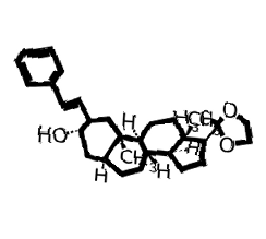 CC1([C@H]2CC[C@H]3[C@@H]4CC[C@H]5C[C@H](O)C(/C=C/c6ccccc6)C[C@]5(C)[C@H]4CC[C@]23C)OCCO1